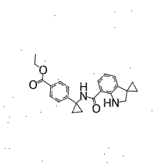 CCOC(=O)c1ccc(C2(NC(=O)c3cccc4c3NCC43CC3)CC2)cc1